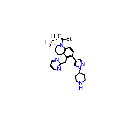 C=C(CC)N1c2ccc(-c3cnn(C4CCNCC4)c3)c(Cc3ncccn3)c2CC[C@@H]1C